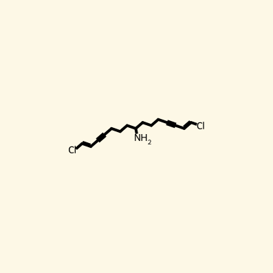 NC(CCCC#C/C=C/Cl)CCCC#C/C=C/Cl